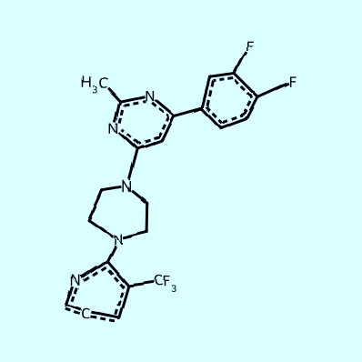 Cc1nc(-c2ccc(F)c(F)c2)cc(N2CCN(c3ncccc3C(F)(F)F)CC2)n1